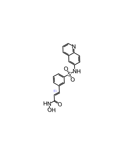 O=C(/C=C/c1cccc(S(=O)(=O)Nc2ccc3ncccc3c2)c1)NO